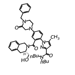 CCCCN(CCCC)C(=O)c1cc(C)n(-c2ccc(N3CCN(Cc4ccccc4)C(=O)C3)cc2C(=O)N2Cc3ccccc3C[C@H]2CO)n1